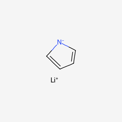 [Li+].c1cc[n-]c1